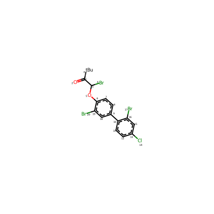 CC(C)(C)C(=O)C(Br)Oc1ccc(-c2ccc(Cl)cc2Br)cc1Br